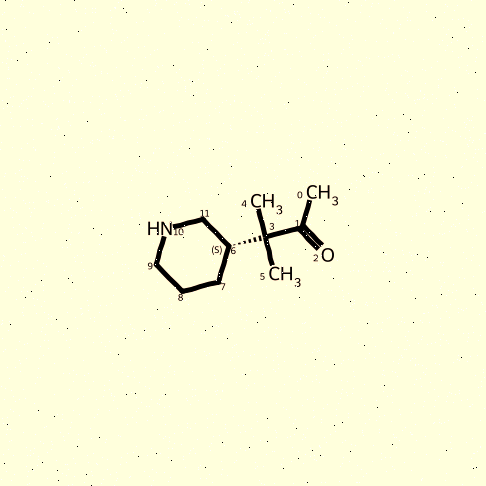 CC(=O)C(C)(C)[C@@H]1CCCNC1